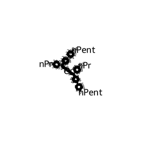 CCCCC[C@H]1CC[C@H](c2ccc(C(=CCOCC=C(c3ccc([C@H]4CC[C@H](CCCCC)CC4)cc3)[C@H]3CC[C@H](CCC)CC3)[C@H]3CC[C@H](CCC)CC3)cc2)CC1